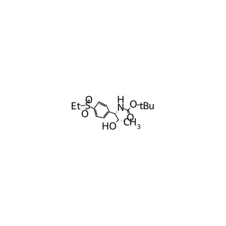 CCS(=O)(=O)c1ccc([C@H](NC(=O)OC(C)(C)C)[C@H](C)O)cc1